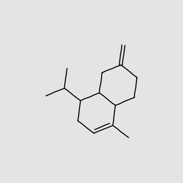 C=C1CCC2C(C)=CCC(C(C)C)C2C1